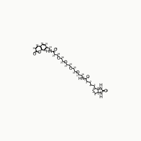 O=C(CCCCC1SCC2NC(=O)NC21)NCCOCCOCCOCCOCCC(=O)NCc1ccc2ccc(=O)oc2c1